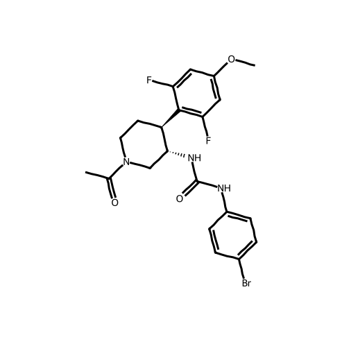 COc1cc(F)c([C@@H]2CCN(C(C)=O)C[C@H]2NC(=O)Nc2ccc(Br)cc2)c(F)c1